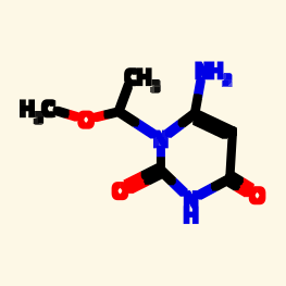 COC(C)n1c(N)cc(=O)[nH]c1=O